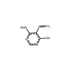 C=Nc1c(O)ncnc1NC